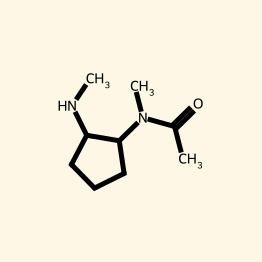 CNC1CCCC1N(C)C(C)=O